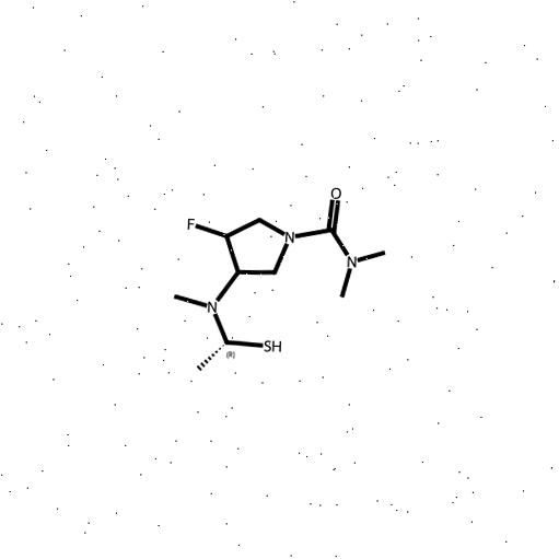 C[C@@H](S)N(C)C1CN(C(=O)N(C)C)CC1F